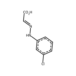 O=C(O)C=NNc1cccc(Cl)c1